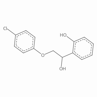 Oc1ccccc1C(O)COc1ccc(Cl)cc1